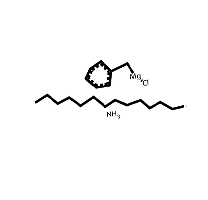 N.[CH2]CCCCCCCCCCCCC.[Cl][Mg][CH2]c1ccccc1